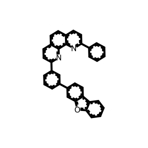 c1ccc(-c2ccc3ccc4ccc(-c5cccc(-c6ccc7c(c6)oc6ccccc67)c5)nc4c3n2)cc1